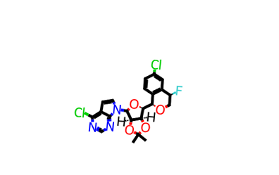 CC1(C)O[C@@H]2[C@@H]([C@H]3OC[C@H](F)c4cc(Cl)ccc43)OC(n3ccc4c(Cl)ncnc43)[C@@H]2O1